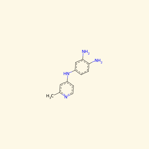 Cc1cc(Nc2ccc(N)c(N)c2)ccn1